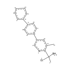 BC(C)(CC)c1ncc(-c2ccc(-c3ccccc3)cc2)cc1C